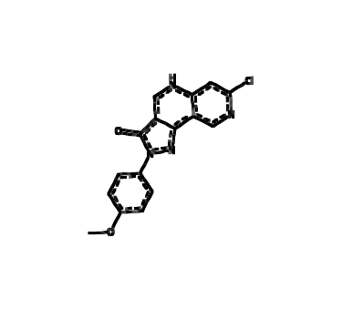 COc1ccc(-n2nc3c4cnc(Cl)cc4[nH]cc-3c2=O)cc1